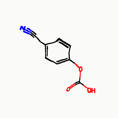 N#Cc1ccc(OC(=O)O)cc1